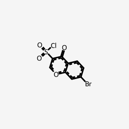 O=c1c(S(=O)(=O)Cl)coc2cc(Br)ccc12